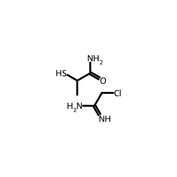 CC(S)C(N)=O.N=C(N)CCl